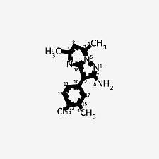 Cc1cc(C)n2nc(N)c(-c3ccc(Cl)c(C)c3)c2n1